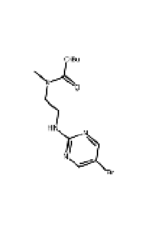 CC(C)COC(=O)N(C)CCNc1ncc(Br)cn1